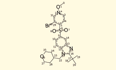 CO[n+]1ccc(S(=O)(=O)c2ccc3c(c2)nc(C(C)(C)C)n3CC2CCOCC2)c(Br)c1